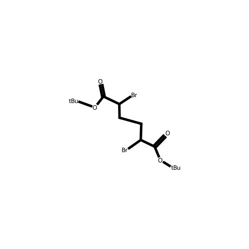 CC(C)(C)OC(=O)C(Br)CCC(Br)C(=O)OC(C)(C)C